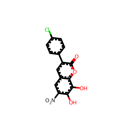 O=c1oc2c(O)c(O)c([N+](=O)[O-])cc2cc1-c1ccc(Cl)cc1